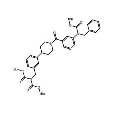 CC(C)(C)OC(=O)N(Cc1cccc(C2CCN(C(=O)c3cncc(N(Cc4ccccc4)C(=O)OC(C)(C)C)c3)CC2)c1)C(=O)OC(C)(C)C